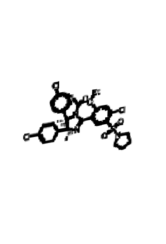 CCOc1cc(Cl)c(S(=O)(=O)N2CCCC2)cc1C1=N[C@@](C)(C2C=CC(Cl)=CC2)[C@@](C)(c2ccc(Cl)cc2)N1C(=O)Cl